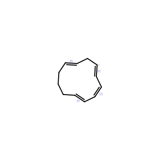 [C]1=C/C=C\C=C\CCC/C=C/C/1